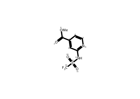 COC(=O)c1ccnc(NS(=O)(=O)C(F)(F)F)c1